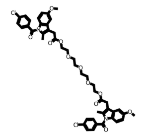 COc1ccc2c(c1)c(CC(=O)OCCOCCOCCOCCOC(=O)Cc1c(C)n(C(=O)c3ccc(Cl)cc3)c3ccc(OC)cc13)c(C)n2C(=O)c1ccc(Cl)cc1